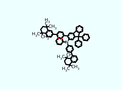 CC1(C)CCC(C)(C)c2cc(-c3ccc(-c4cc5c(cc4N(c4ccccc4)c4ccc(-c6cccc7c6C(C)(C)CCC7(C)C)cc4)C(c4ccccc4)(c4ccccc4)c4ccccc4-5)cc3)ccc21